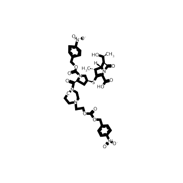 C[C@@H](O)[C@H]1C(=O)N2C(C(=O)O)=C(S[C@H]3C[C@@H](C(=O)N4CCCN(CCOC(=O)OCc5ccc([N+](=O)[O-])cc5)CC4)N(C(=O)OCc4ccc([N+](=O)[O-])cc4)C3)[C@H](C)[C@H]12